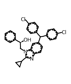 O[C@@H](Cn1c(C2CC2)nc2ccc(C(c3ccc(Cl)cc3)c3ccc(Cl)cc3)cc21)c1ccccc1